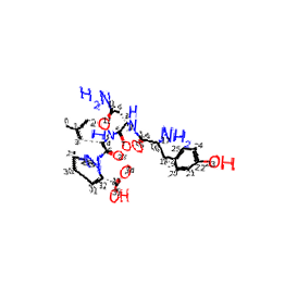 CC(C)C[C@H](NC(=O)[C@H](CC(N)=O)NC(=O)[C@@H](N)Cc1ccc(O)cc1)C(=O)N1CCC[C@H]1C(=O)O